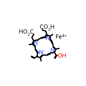 C=CC1C(C)=C2/C=C3\[N-]C(=C(C)C3C(=C)O)/C=c3\[n-]/c(c(CCC(=O)O)c3C)=C\c3[n-]c(c(C)c3CCC(=O)O)/C=C/1[N-]2.[Fe+4]